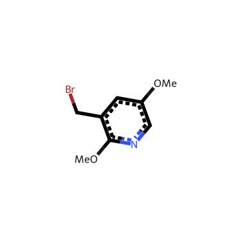 COc1cnc(OC)c(CBr)c1